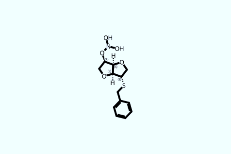 ON(O)O[C@@H]1CO[C@H]2[C@@H]1OC[C@@H]2SCc1ccccc1